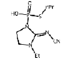 CCCSP(=O)(O)N1CCN(CC)C1=NC#N